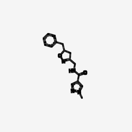 Cn1cc(C(=O)NCC2=NOC(Cc3ccccc3)C2)cn1